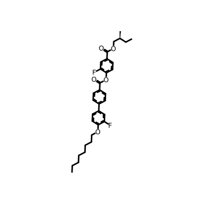 CCCCCCCCOc1ccc(-c2ccc(C(=O)Oc3ccc(C(=O)OC[C@@H](C)CC)cc3F)cc2)cc1F